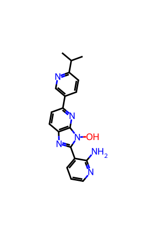 CC(C)c1ccc(-c2ccc3nc(-c4cccnc4N)n(O)c3n2)cn1